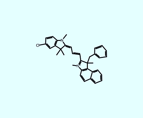 CN1/C(=C/C=C/C2=[N+](C)c3ccc4ccccc4c3C2(C)Cc2ccccc2)C(C)(C)c2cc(Cl)ccc21